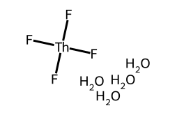 O.O.O.O.[F][Th]([F])([F])[F]